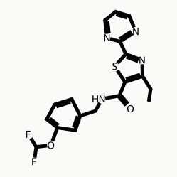 CCc1nc(-c2ncccn2)sc1C(=O)NCc1cccc(OC(F)F)c1